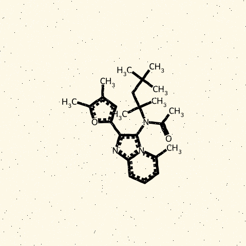 CC(=O)N(c1c(-c2cc(C)c(C)o2)nc2cccc(C)n12)C(C)(C)CC(C)(C)C